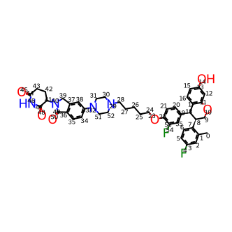 Cc1cc(F)ccc1[C@@H]1COc2cc(O)ccc2[C@@H]1c1ccc(OCCCCCN2CCN(c3ccc4c(c3)CN(C3CCC(=O)NC3=O)C4=O)CC2)c(F)c1